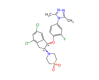 Cc1nnc(C)n1-c1ccc(O[C@@H]2c3cc(Cl)cc(Cl)c3C[C@@H]2N2CCS(=O)(=O)CC2)c(F)c1